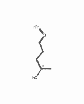 CCCOCCC[C@@H](C)C#N